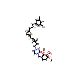 COc1ccc(CN2CCN(CCC(C)(C)CCc3ccc(CCCc4cc(C)cc(C)c4)s3)CC2)c(OC)c1OC